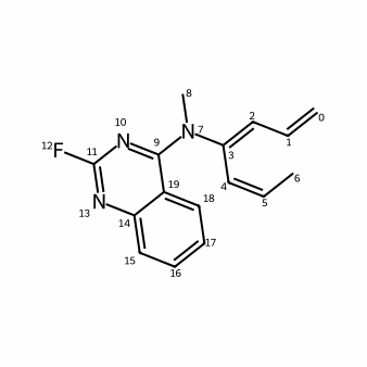 C=C/C=C(\C=C/C)N(C)c1nc(F)nc2ccccc12